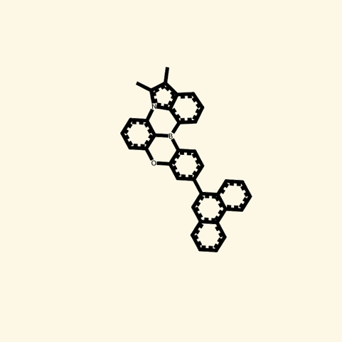 Cc1c(C)n2c3c(cccc13)B1c3ccc(-c4cc5ccccc5c5ccccc45)cc3Oc3cccc-2c31